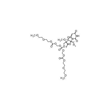 COCCOCCOC(=O)OCOP(=O)(OCOC(=O)OCCOCCOC)OC[C@@](CF)(OC)[C@@H](O)[C@@](C)(O)n1ccc(=O)[nH]c1=O